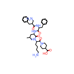 CC(C)CC(NC(=O)C(Cc1ccccc1)NC(=O)C(CN)Cc1ccccc1)C(=O)NC(CCCCN)C(=O)N1CCC(C(=O)O)CC1